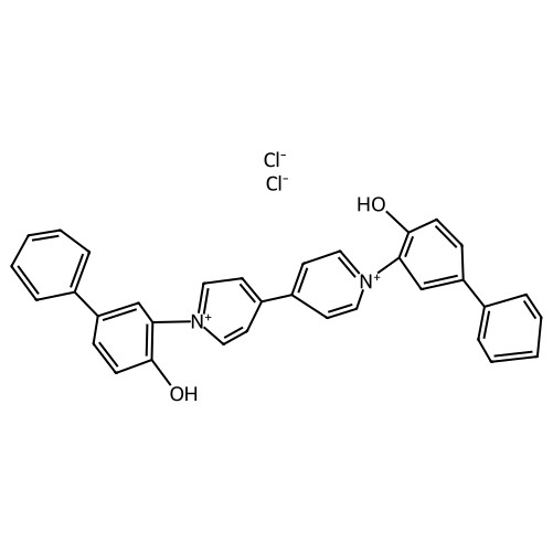 Oc1ccc(-c2ccccc2)cc1-[n+]1ccc(-c2cc[n+](-c3cc(-c4ccccc4)ccc3O)cc2)cc1.[Cl-].[Cl-]